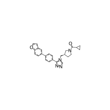 O=C(C1CC1)N1CC[C@@H](Cn2cnnc2-c2ccc(-c3ccc4occc4c3)cc2)C1